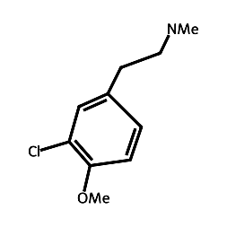 CNCCc1ccc(OC)c(Cl)c1